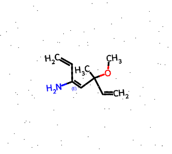 C=C/C(N)=C\C(C)(C=C)OC